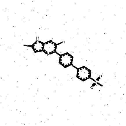 Cc1cc2nc(-c3ccc(-c4ccc(S(C)(=O)=O)cc4)cc3)c(Cl)cc2[nH]1